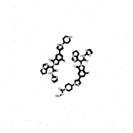 CC(C)(C)OC(=O)N1CCC(n2cc(-c3cc(F)c4c(c3)C(=O)N(C(C(=O)Nc3nccs3)c3ncn5c3CCC5)C4)cn2)CC1.O=C(Nc1nccs1)C(c1ncn2c1CCC2)N1Cc2c(F)cc(-c3cnn(C4CCNCC4)c3)cc2C1=O